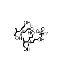 CC(CO)[N+](C)(CCO)CCO.CC(CO)[N+](C)(CCO)CCO.O=S(=O)([O-])[O-]